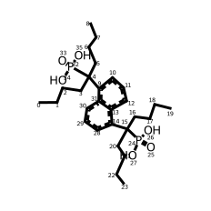 CCCCC(CCCC)(c1cccc2c(C(CCCC)(CCCC)P(=O)(O)O)cccc12)P(=O)(O)O